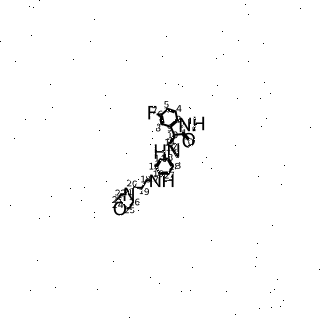 O=C1Nc2ccc(F)cc2/C1=C/Nc1ccc(NCCCN2CCOCC2)cc1